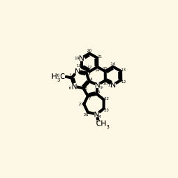 Cc1ncc2c(n1)c1c(n2-c2ncccc2-c2ccncc2)CCN(C)CC1